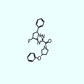 O=C(c1nc2n(n1)C(c1ccccc1)CC2F)N1CCC(Oc2ccccc2)C1